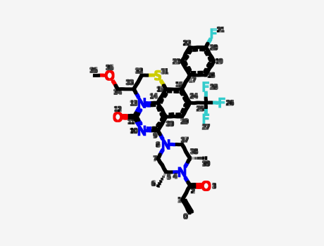 C=CC(=O)N1[C@H](C)CN(c2nc(=O)n3c4c(c(-c5ccc(F)cc5)c(C(F)(F)F)cc24)SCC3COC)C[C@@H]1C